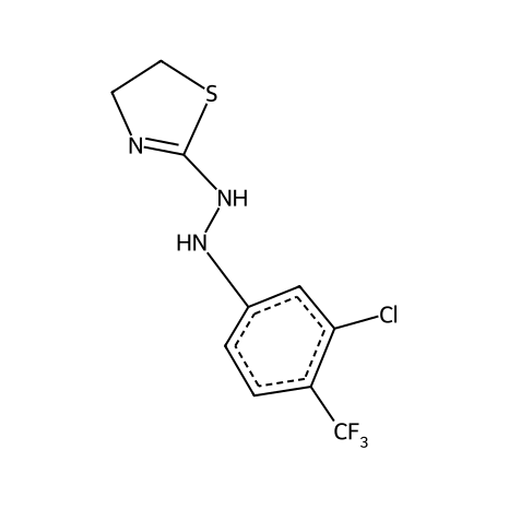 FC(F)(F)c1ccc(NNC2=NCCS2)cc1Cl